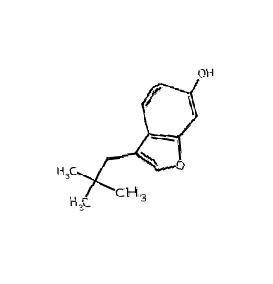 CC(C)(C)Cc1coc2cc(O)ccc12